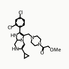 COCC(=O)N1CCN(CC2=C(c3ccc(Cl)cc3Cl)NC3CNC(C4CC4)=CN23)CC1